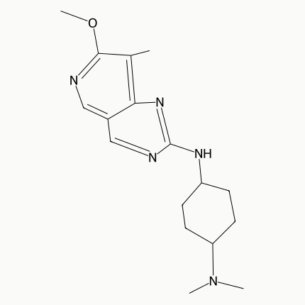 COc1ncc2cnc(NC3CCC(N(C)C)CC3)nc2c1C